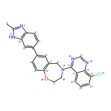 Cc1nc2ccc(-c3ccc4c(c3)CN(c3ncnc5c(Cl)cccc35)CCO4)cc2[nH]1